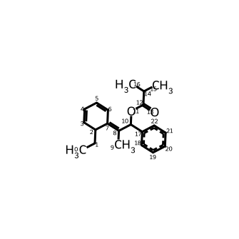 CCC1C=CC=C/C1=C(/C)C(OC(=O)C(C)C)c1ccccc1